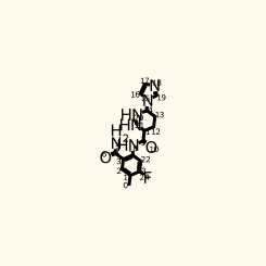 Cc1cc(C(N)=O)c(NC(=O)C2CCC(n3ccnc3)NN2)cc1F